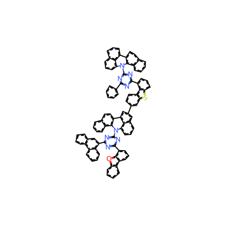 c1ccc(-c2nc(-c3cccc4sc5cc(-c6cc7c8c(cccc8c6)N(c6nc(-c8cc9ccccc9c9ccccc89)nc(-c8cccc9c8oc8ccccc89)n6)c6c-7ccc7ccccc67)ccc5c34)nc(N3c4c(ccc5ccccc45)-c4cccc5cccc3c45)n2)cc1